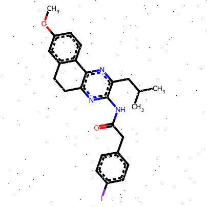 COc1ccc2c(c1)CCc1nc(NC(=O)Cc3ccc(I)cc3)c(CC(C)C)nc1-2